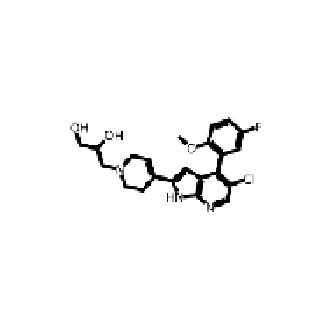 COc1ccc(F)cc1-c1c(Cl)cnc2[nH]c(C3=CCN(CC(O)CO)CC3)cc12